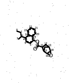 CCC(C)c1ccc(OC(=O)C2CC3CC2C2OC32)c2ccccc12